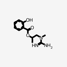 CC(CN(C)C(=N)N)OC(=O)c1ccccc1O